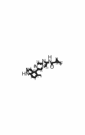 Cc1ccc2[nH]ncc2c1-c1cn2cc(NC(=O)C3CC3F)nc2cn1